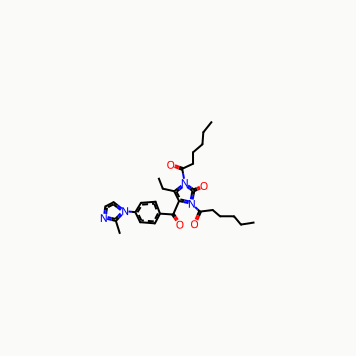 CCCCCC(=O)n1c(CC)c(C(=O)c2ccc(-n3ccnc3C)cc2)n(C(=O)CCCCC)c1=O